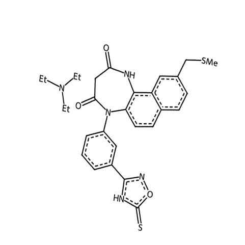 CCN(CC)CC.CSCc1ccc2ccc3c(c2c1)NC(=O)CC(=O)N3c1cccc(-c2noc(=S)[nH]2)c1